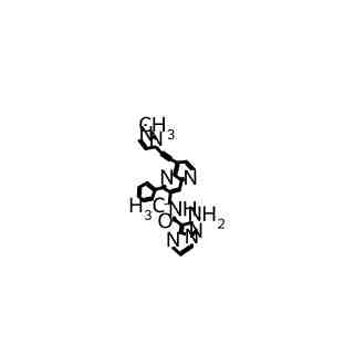 C[C@@H](NC(=O)c1c(N)nn2cccnc12)c1cc2nccc(C#Cc3ccn(C)n3)c2nc1-c1ccccc1